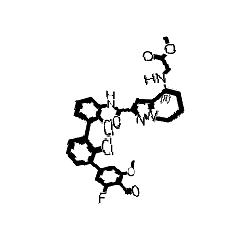 COC(=O)CN[C@@H]1CCCn2nc(C(=O)Nc3cccc(-c4cccc(-c5cc(F)c(C=O)c(OC)c5)c4Cl)c3Cl)cc21